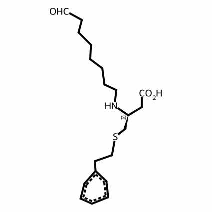 O=CCCCCCCCN[C@H](CSCCc1ccccc1)CC(=O)O